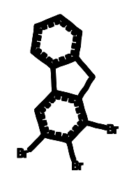 Brc1cc2c(c(Br)c1Br)Cc1ccccc1-2